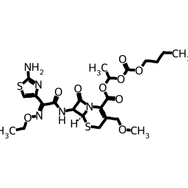 CCCCOC(=O)OC(C)OC(=O)C1=C(COC)CS[C@H]2C(NC(=O)C(=NOCC)c3csc(N)n3)C(=O)N12